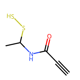 C#CC(=O)NC(C)SS